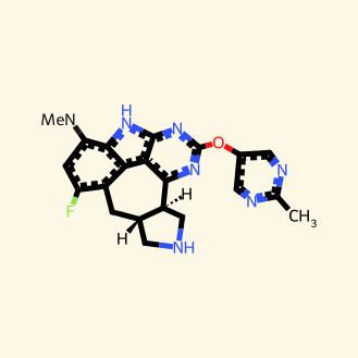 CNc1cc(F)c2c3c1[nH]c1nc(Oc4cnc(C)nc4)nc(c13)[C@H]1CNC[C@@H]1C2